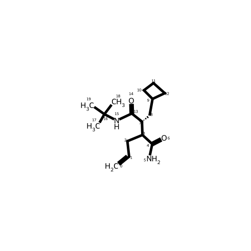 C=CCC(C(N)=O)[C@@H](CC1CCC1)C(=O)NC(C)(C)C